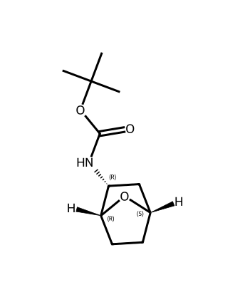 CC(C)(C)OC(=O)N[C@@H]1C[C@@H]2CC[C@H]1O2